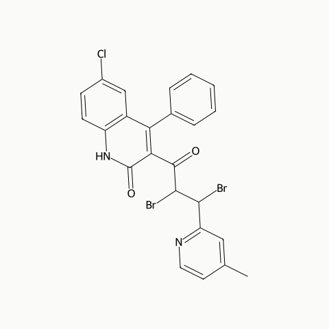 Cc1ccnc(C(Br)C(Br)C(=O)c2c(-c3ccccc3)c3cc(Cl)ccc3[nH]c2=O)c1